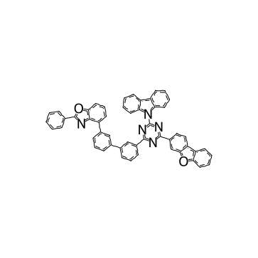 c1ccc(-c2nc3c(-c4cccc(-c5cccc(-c6nc(-c7ccc8c(c7)oc7ccccc78)nc(-n7c8ccccc8c8ccccc87)n6)c5)c4)cccc3o2)cc1